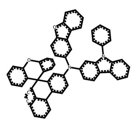 c1ccc(-n2c3ccccc3c3ccc(N(c4ccc5c(c4)C4(c6ccccc6Oc6ccccc64)c4cccc6cccc-5c46)c4ccc5oc6ccccc6c5c4)cc32)cc1